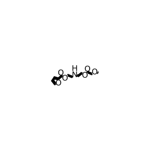 COCC(=O)OCCNCCOC(=O)c1ccco1